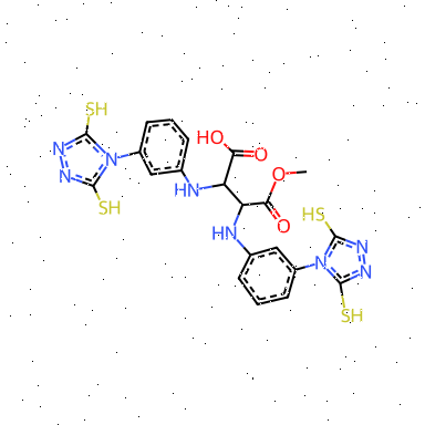 COC(=O)C(Nc1cccc(-n2c(S)nnc2S)c1)C(Nc1cccc(-n2c(S)nnc2S)c1)C(=O)O